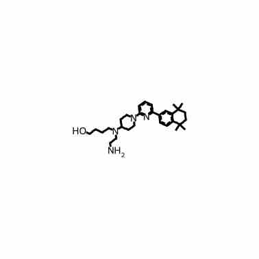 CC1(C)CCC(C)(C)c2cc(-c3cccc(N4CCC(N(CCN)CCCCO)CC4)n3)ccc21